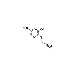 C#CCSc1ncc([N+](=O)[O-])cc1Cl